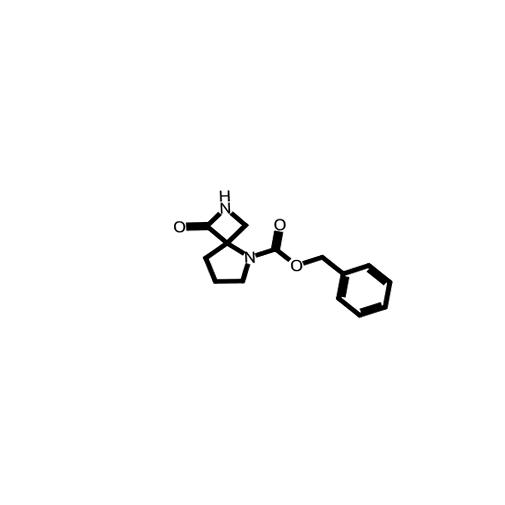 O=C(OCc1ccccc1)N1CCCC12CNC2=O